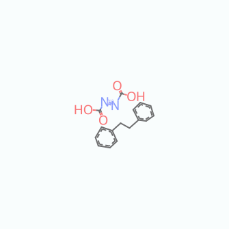 O=C(O)/N=N/C(=O)O.c1ccc(CCc2ccccc2)cc1